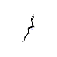 N#C/C=C/CCCl